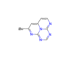 CCC(C)C1=NC2=NC=NC3=NC=CC(=C1)N32